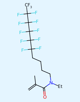 C=C(C)C(=O)N(CC)CCCCC(F)(F)C(F)(F)C(F)(F)C(F)(F)C(F)(F)C(F)(F)F